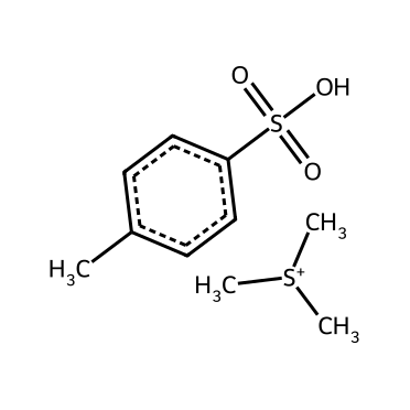 C[S+](C)C.Cc1ccc(S(=O)(=O)O)cc1